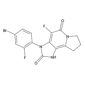 O=c1c(F)c2c([nH]c(=O)n2-c2ccc(Br)cc2F)c2n1CCC2